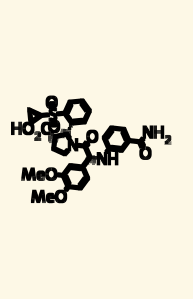 COc1ccc([C@@H](Nc2cccc(C(N)=O)c2)C(=O)N2CC[C@H](C(=O)O)[C@@H]2c2ccccc2S(=O)(=O)C2CC2)cc1OC